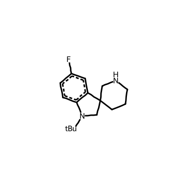 CC(C)(C)N1CC2(CCCNC2)c2cc(F)ccc21